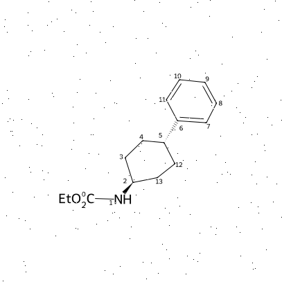 CCOC(=O)N[C@H]1CC[C@H](c2ccccc2)CC1